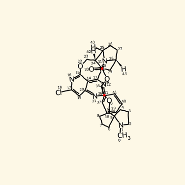 CN1CCCC12CCCC2Oc1nc2c3c(nc(Cl)cc3n1)OC[C@@H]1[C@@H]3CC[C@H](CN21)N3C(=O)OCc1ccccc1